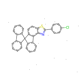 Clc1ccc(-c2nc3c4c(ccc3s2)C2(c3ccccc3-c3ccccc32)c2ccccc2-4)cc1